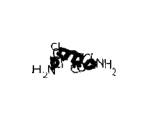 Nc1ccc(Oc2c(Cl)cc(Cc3cc(Cl)c(Oc4ccc(N)cc4)c(Cl)c3)cc2Cl)cc1